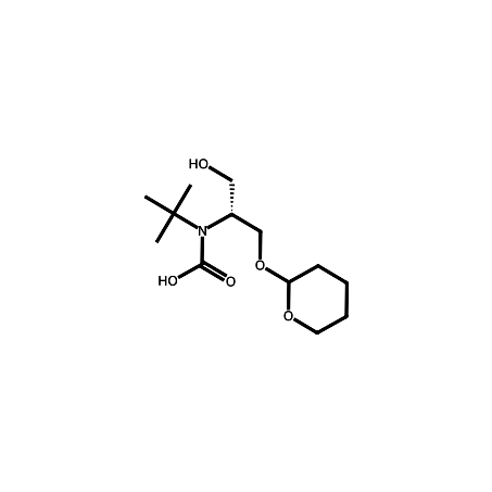 CC(C)(C)N(C(=O)O)[C@H](CO)COC1CCCCO1